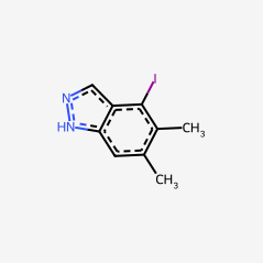 Cc1cc2[nH]ncc2c(I)c1C